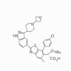 Cc1cc2nc(-c3ccc4[nH]nc(C5CCN(C6COC6)CC5)c4c3)sc2c(-c2ccc(Cl)cc2)c1[C@H](OC(C)(C)C)C(=O)O